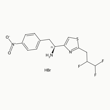 Br.N[C@@H](Cc1ccc([N+](=O)[O-])cc1)c1csc(CC(F)C(F)F)n1